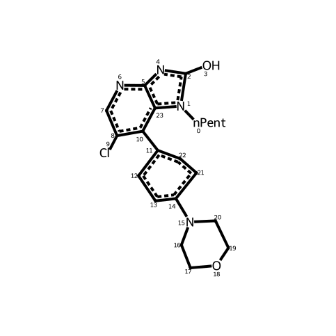 CCCCCn1c(O)nc2ncc(Cl)c(-c3ccc(N4CCOCC4)cc3)c21